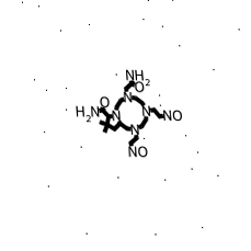 CC1(C)CC2CN(CCN=O)CCN(CCN=O)CCN(CC(N)=O)CCN2C1C(N)=O